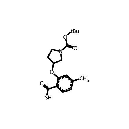 Cc1ccc(C(=O)S)c(OC2CCN(C(=O)OC(C)(C)C)C2)c1